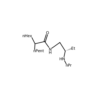 CCCCCCC(CCCCC)C(=O)NC[C@H](CC)NCCC